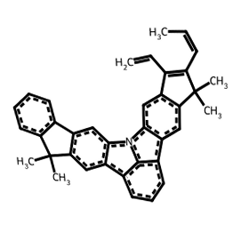 C=CC1=C(/C=C\C)C(C)(C)c2cc3c4cccc5c6cc7c(cc6n(c3cc21)c45)-c1ccccc1C7(C)C